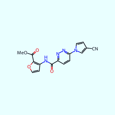 COC(=O)c1occc1NC(=O)c1ccc(-n2ccc(C#N)c2)nn1